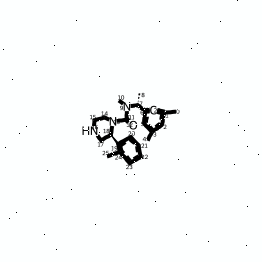 Cc1cc(C)cc([C@@H](C)N(C)C(=O)N2CCNC[C@@H]2c2ccccc2C)c1